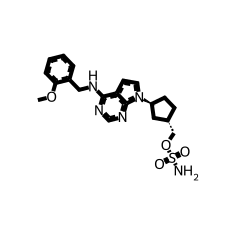 COc1ccccc1CNc1ncnc2c1ccn2[C@H]1CC[C@H](COS(N)(=O)=O)C1